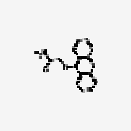 NC(=O)COc1c2ccccc2cc2ccccc12